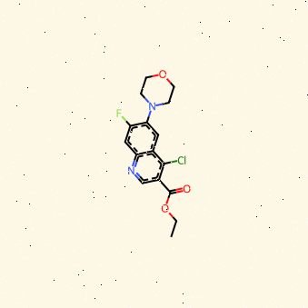 CCOC(=O)c1cnc2cc(F)c(N3CCOCC3)cc2c1Cl